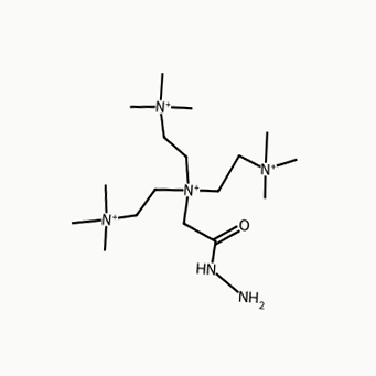 C[N+](C)(C)CC[N+](CC[N+](C)(C)C)(CC[N+](C)(C)C)CC(=O)NN